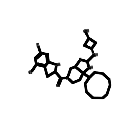 O=C(C1Cc2c(Cl)cc(F)cc2N1)N1CCC2(C3CCCCCCCCC3)NC(N[C@H]3C[C@H](O)C3)SC2C1